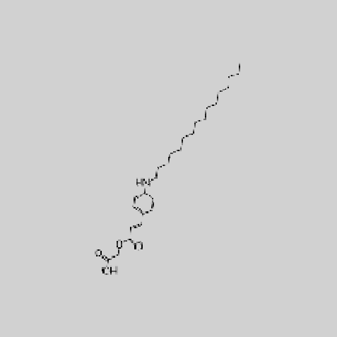 CCCCCCCCCCCCCCCCNc1ccc(C=CC(=O)OCC(=O)O)cc1